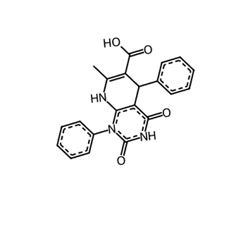 CC1=C(C(=O)O)C(c2ccccc2)c2c(n(-c3ccccc3)c(=O)[nH]c2=O)N1